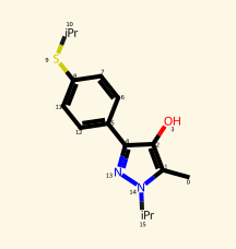 Cc1c(O)c(-c2ccc(SC(C)C)cc2)nn1C(C)C